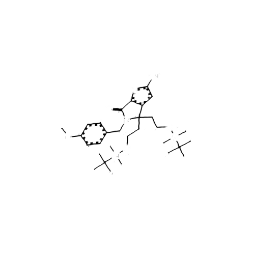 COc1ccc(CN2C(=O)c3sc(Br)cc3C2(CCO[Si](C)(C)C(C)(C)C)CCO[Si](C)(C)C(C)(C)C)cc1